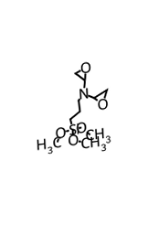 CO[Si](CCCN(C1CO1)C1CO1)(OC)OC